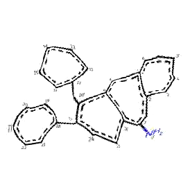 Nc1c2ccccc2cc2c(-c3ccccc3)c(-c3ccccc3)ccc12